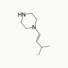 [CH2]C(C)C=CN1CCNCC1